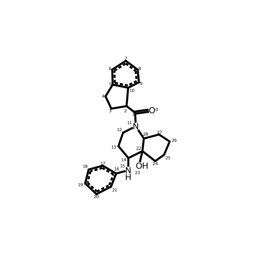 O=C(C1CCc2ccccc21)N1CCC(Nc2ccccc2)C2(O)CCCCC12